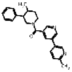 Cc1ccc(-c2cncc(C(=O)N3CCC(C)C(c4ccccc4)C3)c2)cn1